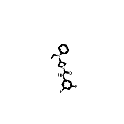 CCN(c1ccccc1)C1CN(C(=O)Nc2cc(F)cc(F)c2)C1